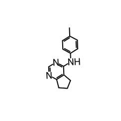 Cc1ccc(Nc2ncnc3c2CCC3)cc1